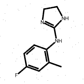 Cc1cc(F)ccc1NC1=NCCN1